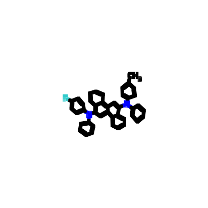 Cc1ccc(N(c2ccccc2)c2cc3c4ccccc4c(N(c4ccccc4)c4ccc(F)cc4)cc3c3ccccc23)cc1